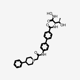 C[C@@H](O)[C@H](NC(=O)c1ccc(-c2ccc(NC(=O)CN3CCC(c4ccccc4)CC3)cc2)cc1)C(=O)NO